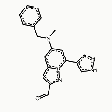 CN(Cc1ccccc1)c1cc(-c2cn[nH]c2)n2nc(C=O)cc2n1